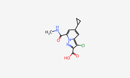 CNC(=O)c1cc(C2CC2)cc2c(Cl)c(C(=O)O)nn12